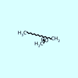 C=CCC(CCCCCCCCCCCC)OC(=O)C=C